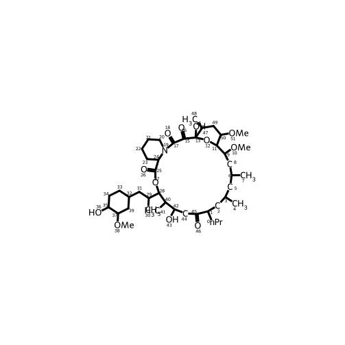 CCCC1CC(C)CC(C)CC(OC)C2OC(O)(C(=O)C(=O)N3CCCCC3C(=O)OC(C(C)CC3CCC(O)C(OC)C3)C(C)C(O)CC1=O)C(C)CC2OC